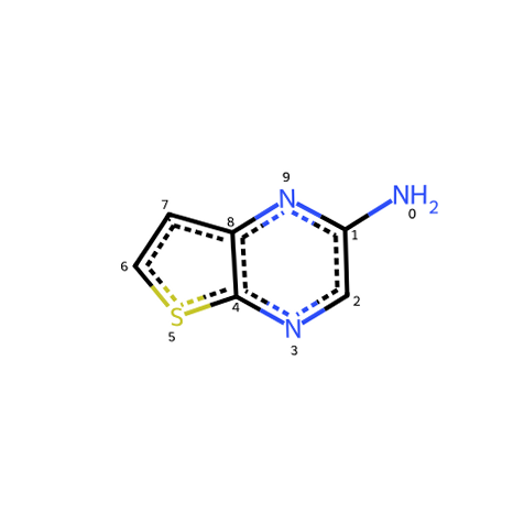 Nc1cnc2sc[c]c2n1